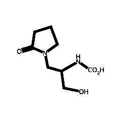 O=C(O)NC(CO)CN1CCCC1=O